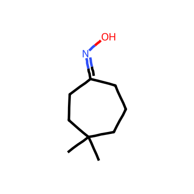 CC1(C)CCC/C(=N\O)CC1